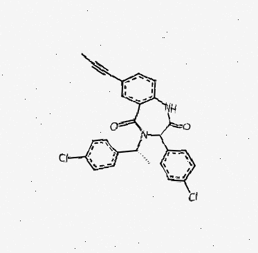 CC#Cc1ccc2c(c1)C(=O)N([C@H](C)c1ccc(Cl)cc1)C(c1ccc(Cl)cc1)C(=O)N2